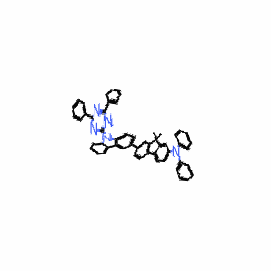 CC1(C)c2cc(-c3ccc4c(c3)c3ccccc3n4-c3nc(-c4ccccc4)nc(-c4ccccc4)n3)ccc2-c2ccc(N(c3ccccc3)c3ccccc3)cc21